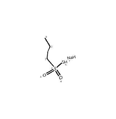 CCCS(=O)(=O)S.[NaH]